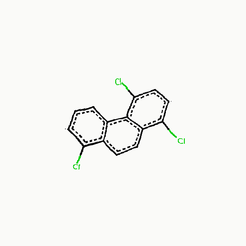 Clc1[c]ccc2c1ccc1c(Cl)[c]cc(Cl)c12